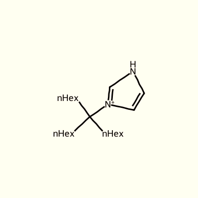 CCCCCCC(CCCCCC)(CCCCCC)[n+]1cc[nH]c1